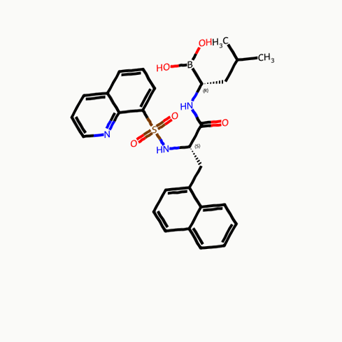 CC(C)C[C@H](NC(=O)[C@H](Cc1cccc2ccccc12)NS(=O)(=O)c1cccc2cccnc12)B(O)O